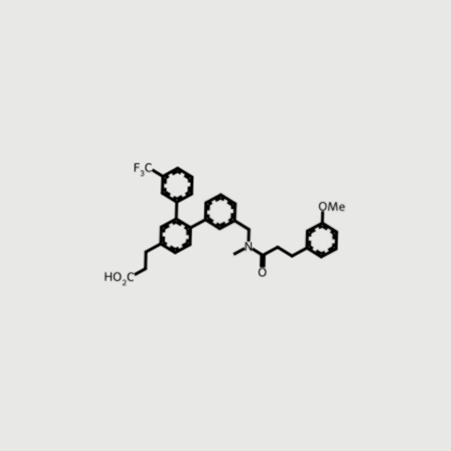 COc1cccc(CCC(=O)N(C)Cc2cccc(-c3ccc(CCC(=O)O)cc3-c3cccc(C(F)(F)F)c3)c2)c1